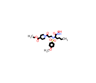 CCCCC(C(=O)NO)N(CCC(=O)N1CCC(C(=O)OCC)CC1)S(=O)(=O)c1ccc(OC)cc1